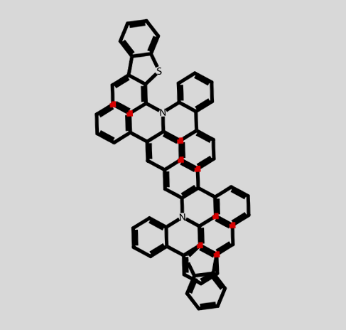 c1ccc(-c2ccccc2N(c2cc3cc(-c4ccccc4)c(N(c4ccccc4-c4ccccc4)c4cccc5c4sc4ccccc45)cc3cc2-c2ccccc2)c2cccc3c2sc2ccccc23)cc1